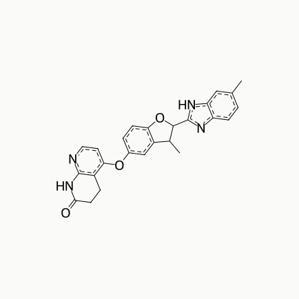 Cc1ccc2nc(C3Oc4ccc(Oc5ccnc6c5CCC(=O)N6)cc4C3C)[nH]c2c1